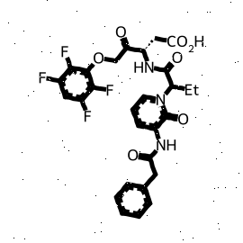 CCC(C(=O)N[C@@H](CC(=O)O)C(=O)COc1c(F)c(F)cc(F)c1F)n1cccc(NC(=O)Cc2ccccc2)c1=O